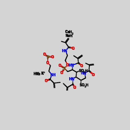 C=C(C)C(=O)NCCOS(=O)(=O)CC(NC(=O)C(=C)C)C(C(NC(=O)C(=C)C)C(CNC(=O)C(=C)C)S(=O)(=O)O)S(=O)(=O)O.C=C(C)C(=O)NCCO[S-](=O)=O.[CaH2].[K+].[NaH].[RbH]